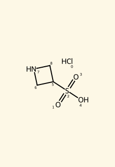 Cl.O=S(=O)(O)C1CNC1